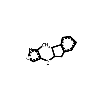 Cc1nocc1NC1Cc2ccccc2C1